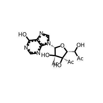 CC(=O)C(O)[C@H]1O[C@@H](n2cnc3c(O)ncnc32)[C@@](O)(C(C)=O)[C@@]1(O)C(C)=O